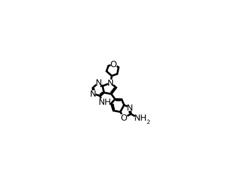 NC1=NC2C=C(c3cn(C4CCOCC4)c4ncnc(N)c34)C=CC2O1